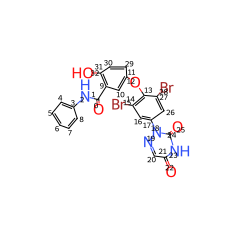 O=C(Nc1ccccc1)c1cc(Oc2c(Br)cc(-n3ncc(=O)[nH]c3=O)cc2Br)ccc1O